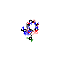 C[C@H]1CN2C(=O)[C@H](C)NC(=O)[C@@H]3CCCCN3C(=O)[C@@H]3CCCN3C(=O)[C@@H](NC(=O)[C@H](Cc3cc(F)cc(F)c3)NC(=O)Nc3ccc4c(c3)CCN4C)[C@H](C)C3C(=O)[C@]32C1